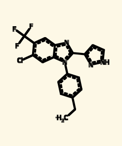 [CH2]Cc1ccc(-n2c(-c3cc[nH]n3)nc3cc(C(F)(F)F)c(Cl)cc32)cc1